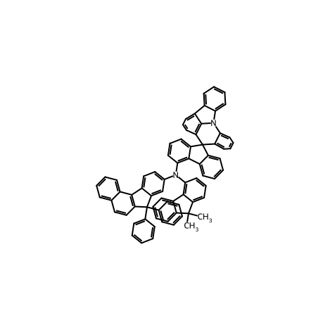 CC1(C)c2ccccc2-c2c(N(c3ccc4c(c3)C(c3ccccc3)(c3ccccc3)c3ccc5ccccc5c3-4)c3cccc4c3-c3ccccc3C43c4ccccc4-n4c5ccccc5c5cccc3c54)cccc21